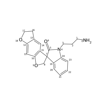 NCCCN1C(=O)C2(COc3cc4c(cc32)CCO4)c2ccccc21